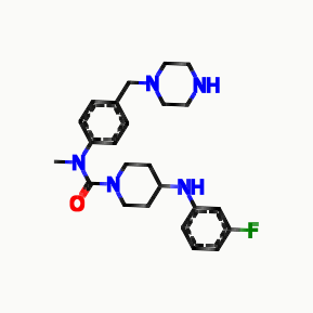 CN(C(=O)N1CCC(Nc2cccc(F)c2)CC1)c1ccc(CN2CCNCC2)cc1